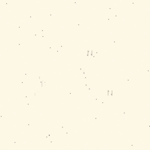 CC1(C)OB(c2ccc(-c3nc(-c4ccc(-c5ccccc5)cn4)cc(-c4ccc(-c5ccccc5)cn4)n3)cc2)OC1(C)C